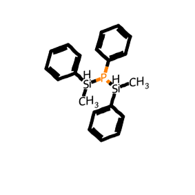 C[SiH](c1ccccc1)P(c1ccccc1)[SiH](C)c1ccccc1